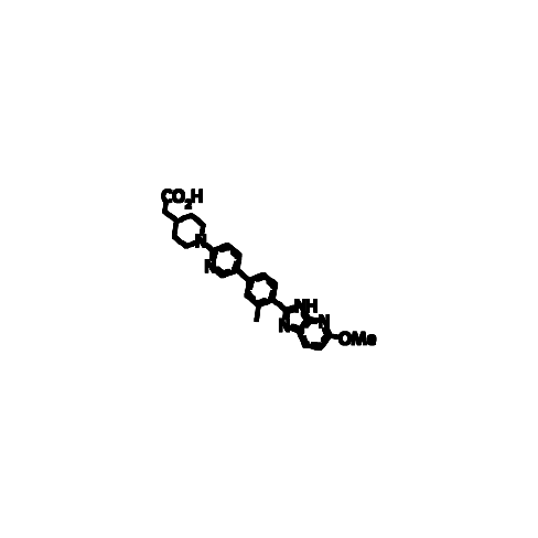 COc1ccc2nc(-c3ccc(-c4ccc(N5CCC(CC(=O)O)CC5)nc4)cc3C)[nH]c2n1